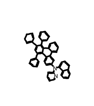 C1=CC(c2cc(-c3ccccc3)c3c4ccc(N(c5ccccn5)c5cccc6ccccc56)cc4c4ccccc4c3c2-c2ccccc2)=CCC1